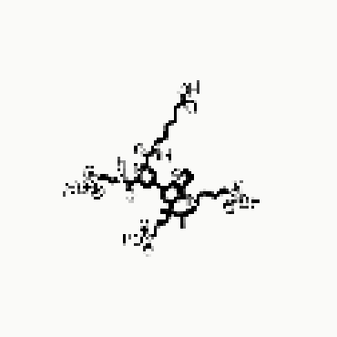 CC1=CN(CCCS(=O)(=O)O)c2c(cc(-c3cc(C(=O)NCCCCCC(=O)O)nc(C(=O)NCCS(=O)(=O)O)c3)c3sccc23)C1(C)CCCS(=O)(=O)O